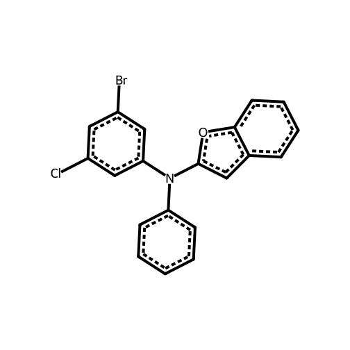 Clc1cc(Br)cc(N(c2ccccc2)c2cc3ccccc3o2)c1